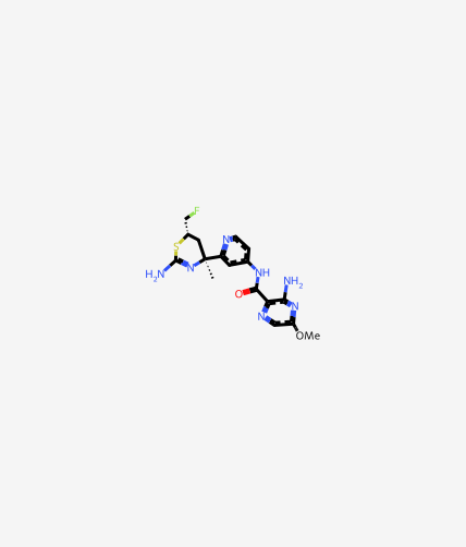 COc1cnc(C(=O)Nc2ccnc([C@]3(C)C[C@@H](CF)SC(N)=N3)c2)c(N)n1